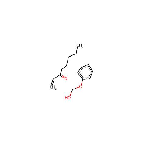 C=CC(=O)CCCCC.OCOc1ccccc1